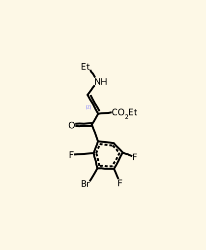 CCN/C=C(\C(=O)OCC)C(=O)c1cc(F)c(F)c(Br)c1F